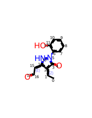 C/C=c1\c(=O)n(-c2ccccc2O)[nH]\c1=C\C=O